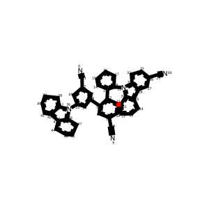 N#Cc1cc(-c2cc(C#N)ccc2-c2ccccc2-n2c3ccccc3c3cc(C#N)ccc32)cc(-n2c3ccccc3c3ccccc32)c1